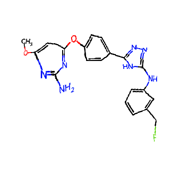 COc1cc(Oc2ccc(-c3nnc(Nc4cccc(CF)c4)[nH]3)cc2)nc(N)n1